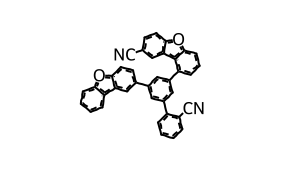 N#Cc1ccc2oc3cccc(-c4cc(-c5ccc6oc7ccccc7c6c5)cc(-c5ccccc5C#N)c4)c3c2c1